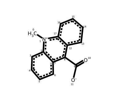 C[n+]1c2ccccc2c(C(=O)[O-])c2ccccc21